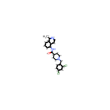 Cc1nccc2c(NC(=O)C3CCN(Cc4ccc(Cl)cc4Cl)CC3)cccc12